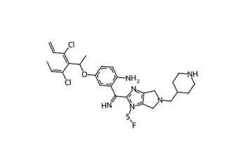 C=C/C(Cl)=C(\C(Cl)=C/C)C(C)Oc1ccc(N)c(C(=N)c2nc3c(n2SF)CN(CC2CCNCC2)C3)c1